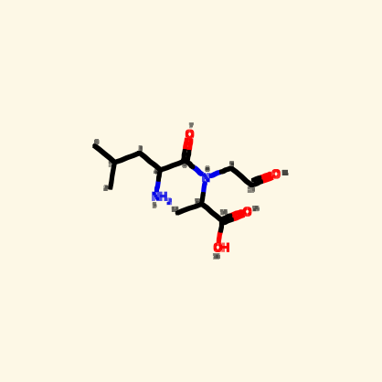 CC(C)CC(N)C(=O)N(CC=O)C(C)C(=O)O